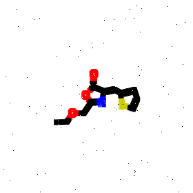 CCOCC1=NC(=Cc2cccs2)C(=O)O1